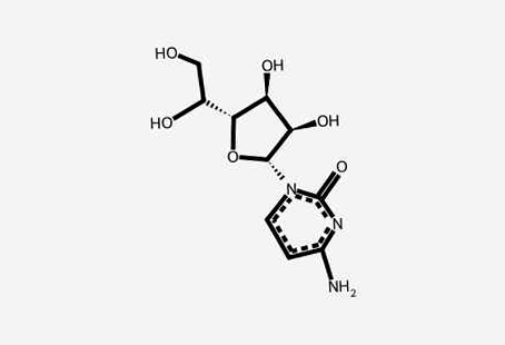 Nc1ccn([C@@H]2O[C@H](C(O)CO)[C@@H](O)[C@H]2O)c(=O)n1